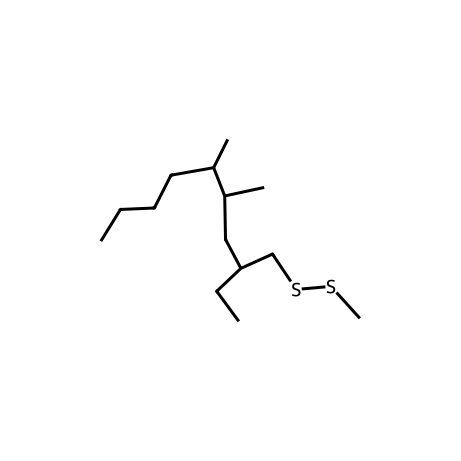 CCCCC(C)C(C)CC(CC)CSSC